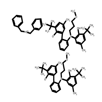 COCCCN(c1ccccc1-c1cc(C)cc(C(C)(C)C)c1[O-])c1cc(C)cc(C(C)(C)C)c1O.COCCCN(c1ccccc1-c1cc(C)cc(C(C)(C)C)c1[O-])c1cc(C)cc(C(C)(C)C)c1O.c1ccc([CH2][Hf+2][CH2]c2ccccc2)cc1